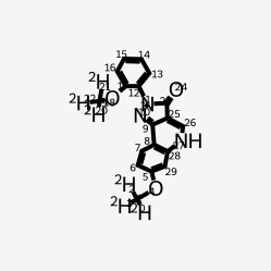 [2H]C([2H])([2H])Oc1ccc2c3nn(-c4ccccc4OC([2H])([2H])[2H])c(=O)c-3c[nH]c2c1